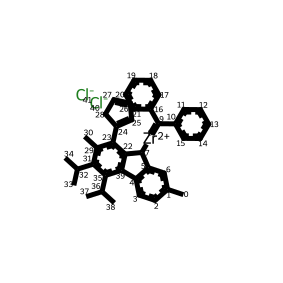 Cc1ccc2c(c1)[CH]([Zr+2]=[C](c1ccccc1)c1ccccc1)c1c(C3=CC=CC3)c(C)c(C(C)C)c(C(C)C)c1-2.[Cl-].[Cl-]